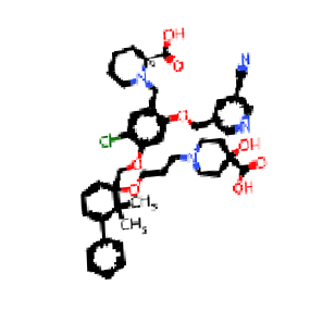 CC1(C)C(c2ccccc2)=CC=CC1(COc1cc(OCc2cncc(C#N)c2)c(CN2CCCC[C@H]2C(=O)O)cc1Cl)OCCCN1CCC(O)(C(=O)O)CC1